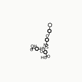 O=C(O)c1ccc(COc2cc(C(=O)O)ccc2Nc2nc(-c3ccc(OCc4ccc(C5CCCCC5)cc4)cc3)cs2)cc1